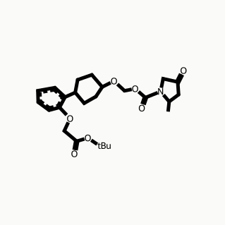 CC1CC(=O)CN1C(=O)OCOC1CCC(c2ccccc2OCC(=O)OC(C)(C)C)CC1